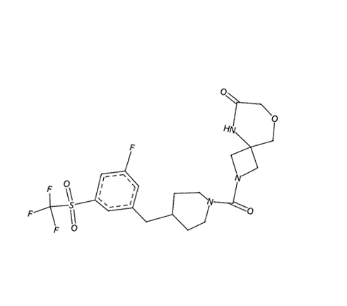 O=C1COCC2(CN(C(=O)N3CCC(Cc4cc(F)cc(S(=O)(=O)C(F)(F)F)c4)CC3)C2)N1